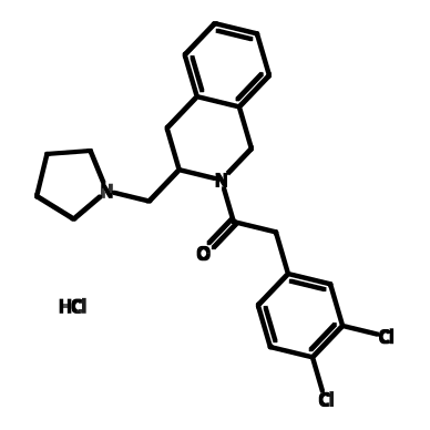 Cl.O=C(Cc1ccc(Cl)c(Cl)c1)N1Cc2ccccc2CC1CN1CCCC1